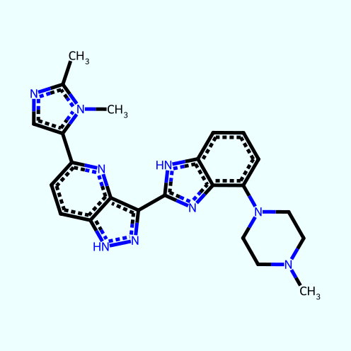 Cc1ncc(-c2ccc3[nH]nc(-c4nc5c(N6CCN(C)CC6)cccc5[nH]4)c3n2)n1C